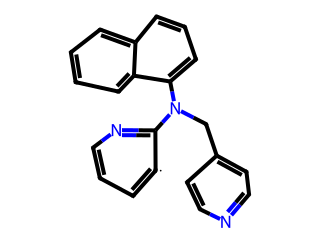 [c]1cccnc1N(Cc1ccncc1)c1cccc2ccccc12